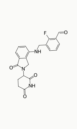 O=Cc1cccc(CNc2cccc3c2CN(C2CCC(=O)NC2=O)C3=O)c1F